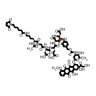 COc1cccc2c1C(=O)c1c(O)c3c(c(O)c1C2=O)C[C@@](O)(C(=O)CO)C[C@@H]3O[C@H]1C[C@H](NC(=O)OCc2ccc(NC(=O)[C@H](CC(=O)O)NC(=O)[C@@H](NC(=O)[C@H](CCC(=O)O)NC(=O)[C@H](CC(=O)O)NC(=O)CNC(=O)[C@H](CCCCNC(=O)CCCCCN3C(=O)C=CC3=O)NC(C)=O)C(C)C)cc2)[C@H](O)[C@H](C)O1